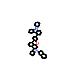 c1ccc(-n2c3ccccc3c3c(-c4ccc5c(c4)Oc4cc6c(c7cccc-5c47)c4ccccc4n6-c4ccc5ccccc5c4)cccc32)cc1